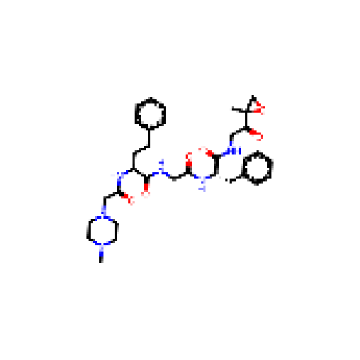 CN1CCN(CC(=O)N[C@@H](CCc2ccccc2)C(=O)NCC(=O)N[C@@H](Cc2ccccc2)C(=O)NCC(=O)C2(C)CO2)CC1